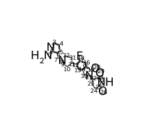 Nc1ncccc1CN1CCC(c2cc3c(cc2F)C(=O)N(C2CCC(=O)NC2=O)C3)CC1